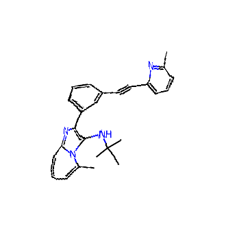 Cc1cccc(C#Cc2cccc(-c3nc4cccc(C)n4c3NC(C)(C)C)c2)n1